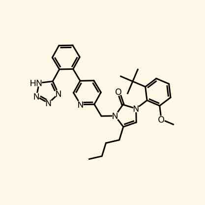 CCCCc1cn(-c2c(OC)cccc2C(C)(C)C)c(=O)n1Cc1ccc(-c2ccccc2-c2nnn[nH]2)cn1